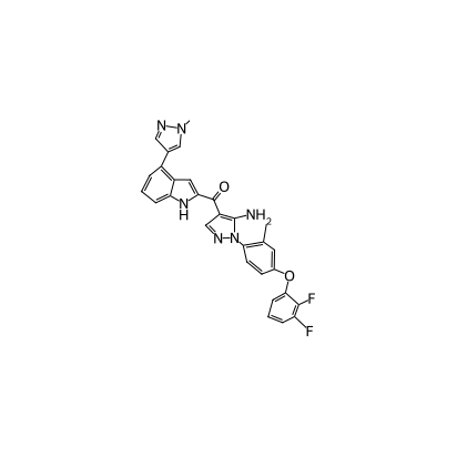 Cc1cc(Oc2cccc(F)c2F)ccc1-n1ncc(C(=O)c2cc3c(-c4cnn(C)c4)cccc3[nH]2)c1N